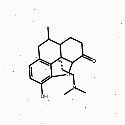 CC1Cc2ccc(O)c3c2[C@]2(CCN(C)C)C(O3)C(=O)CCC12